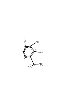 CC(C)c1ccc(O)c(Cl)c1F